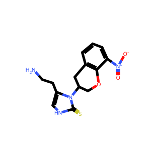 NCCc1c[nH]c(=S)n1C1COc2c(cccc2[N+](=O)[O-])C1